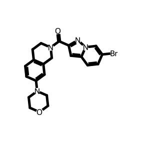 O=C(c1cc2ccc(Br)cn2n1)N1CCc2ccc(N3CCOCC3)cc2C1